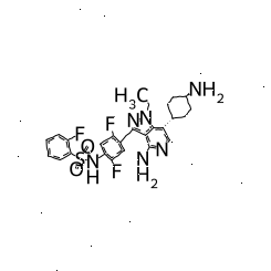 CCn1nc(-c2cc(F)c(NS(=O)(=O)c3ccccc3F)cc2F)c2c(N)ncc([C@H]3CC[C@H](N)CC3)c21